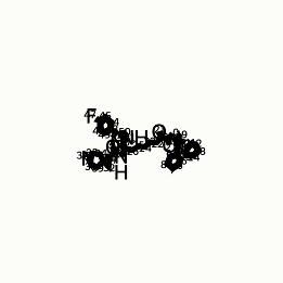 CC(O[Si](c1ccccc1)(c1ccccc1)C(C)(C)C)C(=O)CCCCCC(NC(=O)[C@H]1CC12CCN(C)CC2)c1nc(-c2ccc(F)cc2)c[nH]1